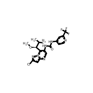 CO[C@H](c1c(NC(=O)Nc2ccnc(C(F)(F)F)c2)cnc2cc(Cl)nn12)C(C)C